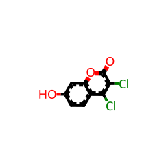 O=c1oc2cc(O)ccc2c(Cl)c1Cl